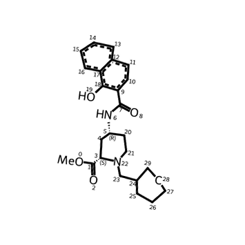 COC(=O)[C@@H]1C[C@H](NC(=O)c2ccc3ccccc3c2O)CCN1CC1CCCCC1